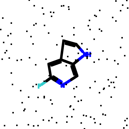 Fc1cc2cc[nH]c2cn1